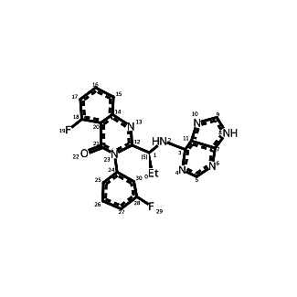 CC[C@H](Nc1ncnc2[nH]cnc12)c1nc2cccc(F)c2c(=O)n1-c1cccc(F)c1